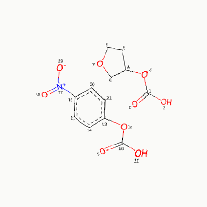 O=C(O)OC1CCOC1.O=C(O)Oc1ccc([N+](=O)[O-])cc1